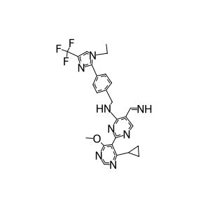 CCn1cc(C(F)(F)F)nc1-c1ccc(CNc2nc(-c3c(OC)ncnc3C3CC3)ncc2C=N)cc1